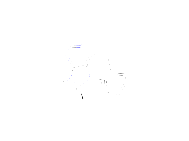 Cc1ccccc1N1c2cncnc2N(C)[C@@H]1C